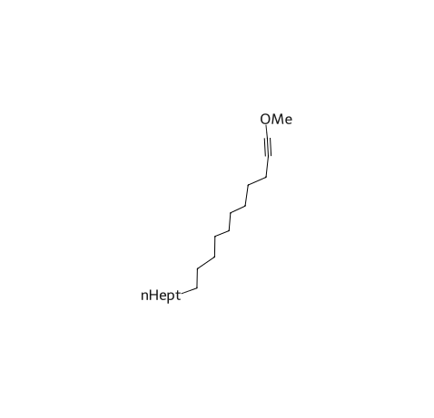 [CH2]OC#CCCCCCCCCCCCCCCCC